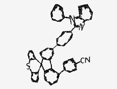 N#Cc1ccc(-c2cccc3c2-c2cc(-c4ccc(-c5nc6ccccc6n5-c5ccccc5)cc4)ccc2C32c3ccccc3Sc3ccccc32)cc1